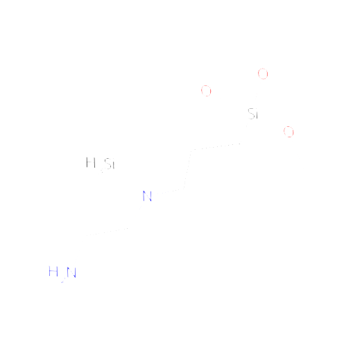 CO[Si](CCCN([SiH3])CCN)(OC)OC